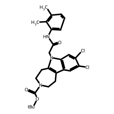 Cc1cccc(NC(=O)Cn2c3c(c4cc(Cl)c(Cl)cc42)CCN(C(=O)OC(C)(C)C)CC3)c1C